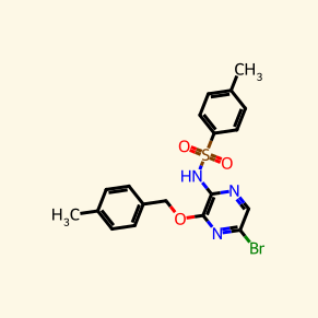 Cc1ccc(COc2nc(Br)cnc2NS(=O)(=O)c2ccc(C)cc2)cc1